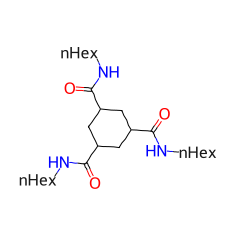 CCCCCCNC(=O)C1CC(C(=O)NCCCCCC)CC(C(=O)NCCCCCC)C1